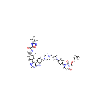 Cc1cc(-c2ncnc3[nH]c4cc(N5CCN(CC6CN(c7ccc(N8CCC(=O)N(COCC[Si](C)(C)C)C8=O)cc7)C6)CC5)ccc4c23)ccc1[C@@H](C)NC(=O)c1nc(C2(C)CC2)no1